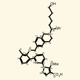 CCC[C@H](CCCCCO)N1CCc2cc(COc3c(C)cccc3-c3cccc(-n4ncc(C(=O)O)c4OC)n3)ccc2C1